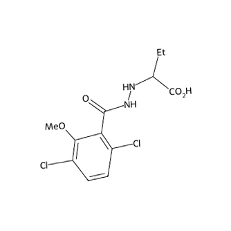 CCC(NNC(=O)c1c(Cl)ccc(Cl)c1OC)C(=O)O